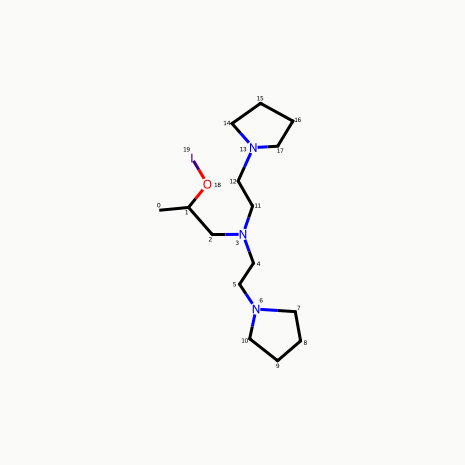 CC(CN(CCN1CCCC1)CCN1CCCC1)OI